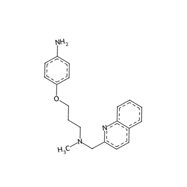 CN(CCCOc1ccc(N)cc1)Cc1ccc2ccccc2n1